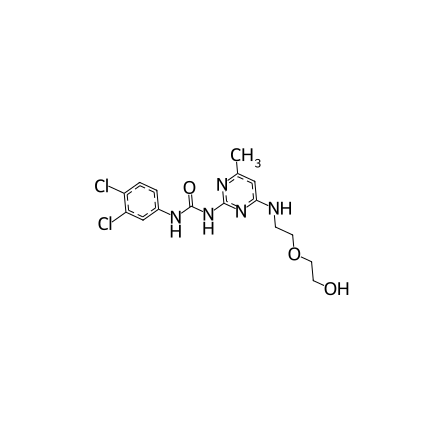 Cc1cc(NCCOCCO)nc(NC(=O)Nc2ccc(Cl)c(Cl)c2)n1